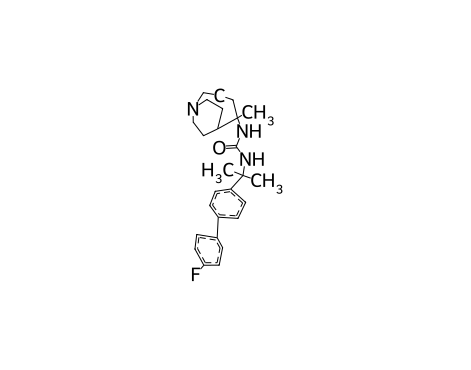 CC(C)(NC(=O)NC1(C)CCCN2CCC1CC2)c1ccc(-c2ccc(F)cc2)cc1